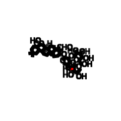 CC1(C)CC[C@]2(C(=O)O)C(O)C[C@]3(C)C(=CCC4C5(C)CC[C@H](O[C@@H]6OC[C@@H](O)[C@H](O[C@@H]7OC[C@@H](O)[C@H](O)C7O)C6O[C@@H]6OC(CO)[C@H](O)[C@H](O)C6O)[C@](C)(C=O)[C@@H]5CC[C@@]43C)C2C1